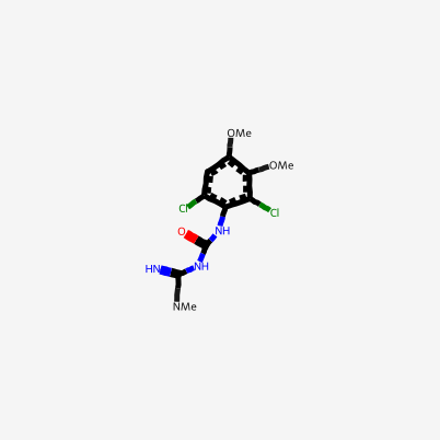 CNC(=N)NC(=O)Nc1c(Cl)cc(OC)c(OC)c1Cl